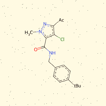 CC(=O)c1nn(C)c(C(=O)NCc2ccc(C(C)(C)C)cc2)c1Cl